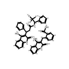 O=C(CC(c1ccccc1)c1c(O)c2ccccc2oc1=O)OC(c1ccccc1)C(F)(F)F.O=C(O)c1ccccc1Cc1c(O)c2ccccc2oc1=O